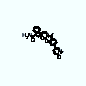 C[C@@H](c1ccc(-c2ccc(=O)n(C)c2)cc1)N1CCC(CCC(N)=O)(c2ccccc2)OC1=O